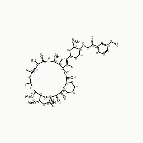 CCC1/C=C(\C)CC(C)CC(OC)C2OC(O)(C(=O)C(=O)N3CCCCC3C(=O)OC(C(C)=CC3CCC(OCC(=O)c4cccc(CCl)c4)C(OC)C3)C(C)C(O)CC1=O)C(C)CC2OC